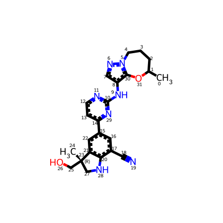 CC1CCCn2ncc(Nc3nccc(-c4cc(C#N)c5c(c4)[C@@](C)(CO)CN5)n3)c2O1